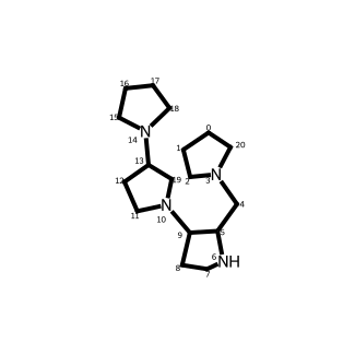 C1CCN(CC2NCCC2N2CCC(N3CCCC3)C2)C1